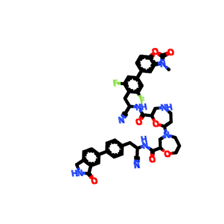 Cn1c(=O)oc2ccc(-c3cc(F)c(CC(C#N)NC(=O)C4CNCCC(N5CCCOC(C(=O)NC(C#N)Cc6ccc(-c7ccc8c(c7)C(=O)NC8)cc6)C5)O4)c(F)c3)cc21